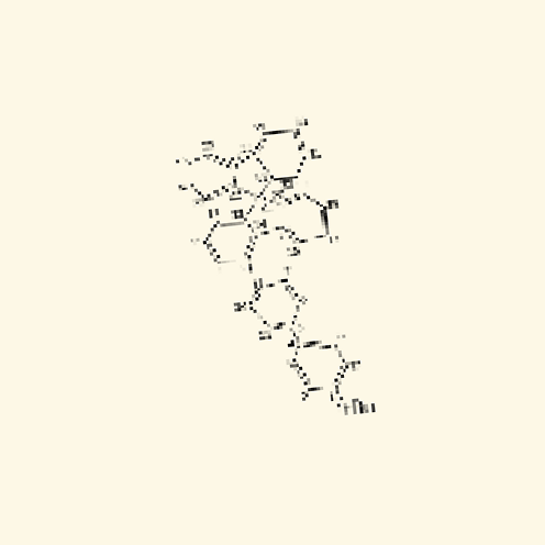 CC(C)(C)c1ccc(-c2ccc(-c3cccc4c3-c3ccccc3C43c4ccccc4-c4ccccc43)cc2)cc1